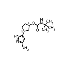 CC(C)(C)NC(=O)O[C@@H]1CC[C@H](c2cc(N)n[nH]2)C1